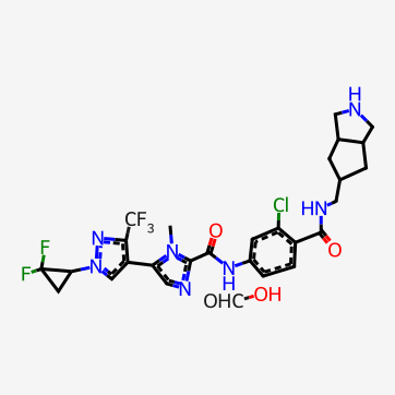 Cn1c(-c2cn(C3CC3(F)F)nc2C(F)(F)F)cnc1C(=O)Nc1ccc(C(=O)NCC2CC3CNCC3C2)c(Cl)c1.O=CO